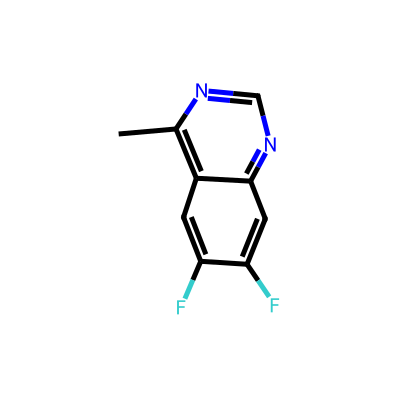 Cc1ncnc2cc(F)c(F)cc12